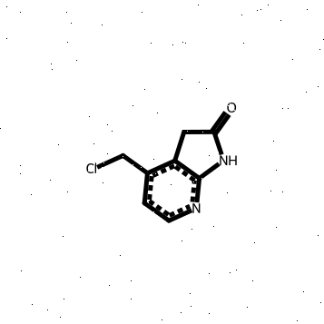 O=C1Cc2c(CCl)ccnc2N1